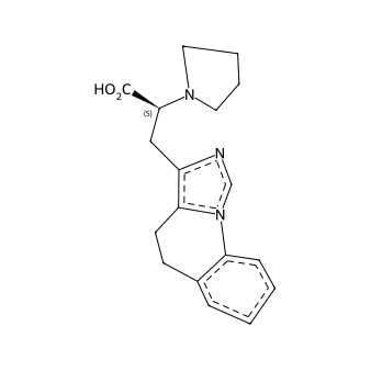 O=C(O)[C@H](Cc1ncn2c1CCc1ccccc1-2)N1CCCC1